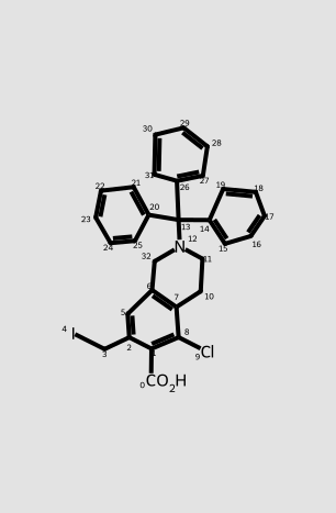 O=C(O)c1c(CI)cc2c(c1Cl)CCN(C(c1ccccc1)(c1ccccc1)c1ccccc1)C2